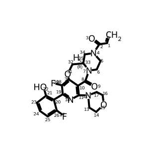 C=CC(=O)N1CCN2C(=O)c3c(N4CCOCC4)nc(-c4c(O)cccc4F)c(F)c3OC[C@H]2C1